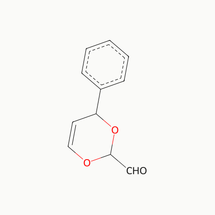 O=CC1OC=CC(c2ccccc2)O1